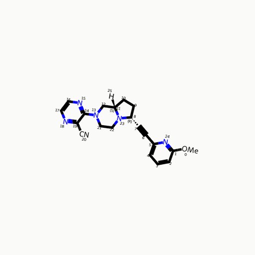 COc1cccc(C#C[C@H]2CC[C@H]3CN(c4nccnc4C#N)CCN32)n1